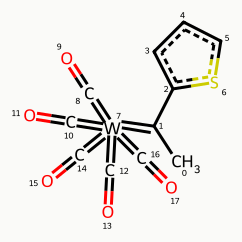 C[C](c1cccs1)=[W](=[C]=O)(=[C]=O)(=[C]=O)(=[C]=O)=[C]=O